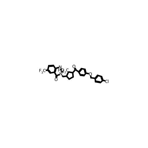 O=C(c1ccc(OCc2ccc(Cl)cc2)cc1)C1CCC(Cn2nnc3ccc(C(F)(F)F)cc3c2=O)C1C(=O)O